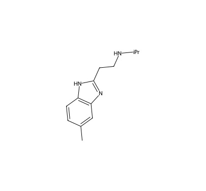 Cc1ccc2[nH]c(CCNC(C)C)nc2c1